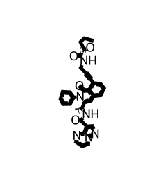 C[C@H](NC(=O)c1cnn2cccnc12)c1cc2cccc(C#CCNC(=O)[C@@H]3CCCO3)c2c(=O)n1-c1ccccc1